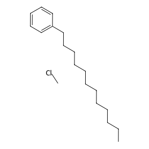 CCCCCCCCCCCCc1ccccc1.CCl